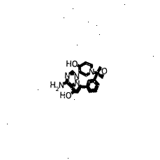 Nc1ncnn2c(-c3cccc(C4(N5CCC(O)CC5)COC4)c3)cc(O)c12